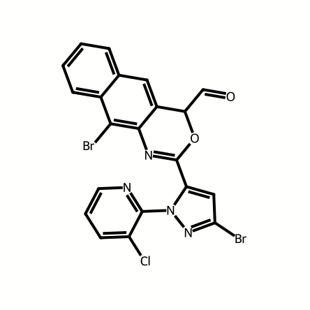 O=CC1OC(c2cc(Br)nn2-c2ncccc2Cl)=Nc2c1cc1ccccc1c2Br